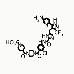 Nc1ccc(-c2[nH]nc(C(F)(F)F)c2Cc2cnc(C(=O)Nc3ccc(C(=O)N4CCN(C(=O)C5CCN(C(=O)O)CC5)CC4)c(Cl)c3)[nH]2)nc1